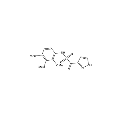 C=C(c1cc[nH]n1)S(=O)(=O)Nc1ccc(OC)c(OC)c1OC